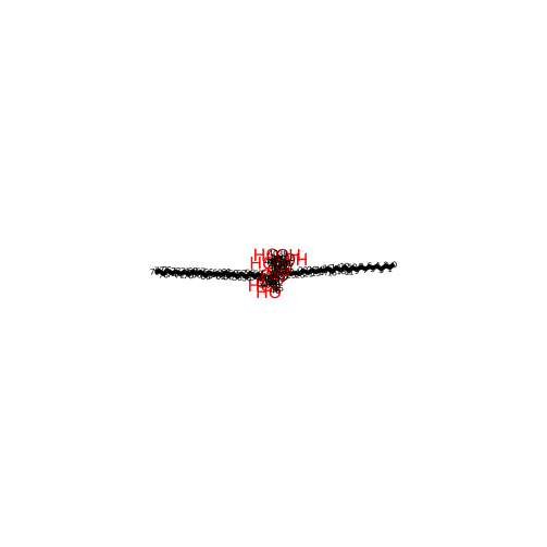 CCCCCCCCCCCCCCCCCCCCCCCCCCC(=O)OC[C@@]1(O[C@H]2O[C@H](CO)[C@@H](O)[C@H](O)[C@H]2O)O[C@H](CO)[C@@H](O)[C@@H]1OC(=O)CCCCCCCCCCCCCCCCCCCCCCCCCC